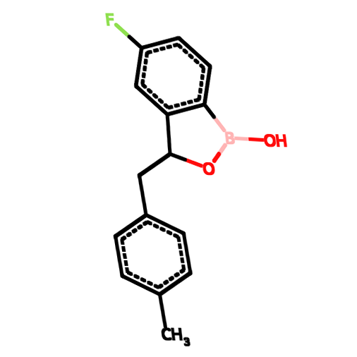 Cc1ccc(CC2OB(O)c3ccc(F)cc32)cc1